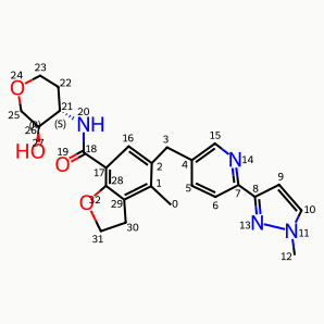 Cc1c(Cc2ccc(-c3ccn(C)n3)nc2)cc(C(=O)N[C@H]2CCOC[C@@H]2O)c2c1CCO2